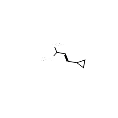 COC(/C=C/C1CC1)OC